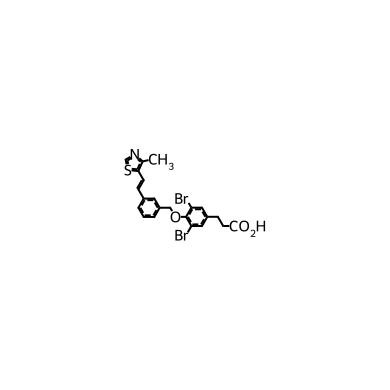 Cc1ncsc1C=Cc1cccc(COc2c(Br)cc(CCC(=O)O)cc2Br)c1